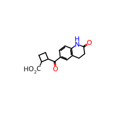 O=C1CCc2cc(C(=O)C3CCC3C(=O)O)ccc2N1